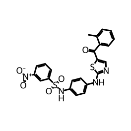 Cc1ccccc1C(=O)c1cnc(Nc2ccc(NS(=O)(=O)c3cccc([N+](=O)[O-])c3)cc2)s1